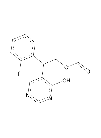 O=COCC(c1ccccc1F)c1cncnc1O